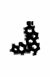 CC1CCC2C3CC=C4CC(O)CCC4(C)C3CCC2(C)C1CC(CC1CCCC1)N=O